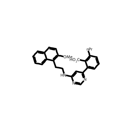 CCCc1cccc(-c2cc(NCCc3c(OC)ccc4ccccc34)ncn2)c1C(=O)O